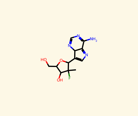 CC1(F)C(C2=CN=C3C(N)=NC=NC23)OC(CO)C1O